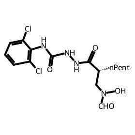 CCCCC[C@H](CN(O)C=O)C(=O)NNC(=O)Nc1c(Cl)cccc1Cl